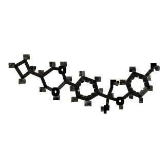 Fc1ccc(OC(F)(F)c2ccc(C3OCC(C4CCC4)CO3)cc2)cc1